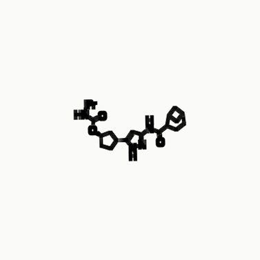 CC(C)NC(=O)O[C@@H]1CC[C@H](c2cc(NC(=O)C3CCC4CC3C4)n[nH]2)C1